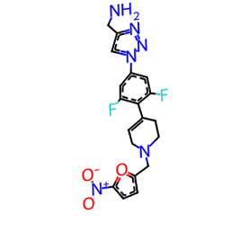 NCc1cn(-c2cc(F)c(C3=CCN(Cc4ccc([N+](=O)[O-])o4)CC3)c(F)c2)nn1